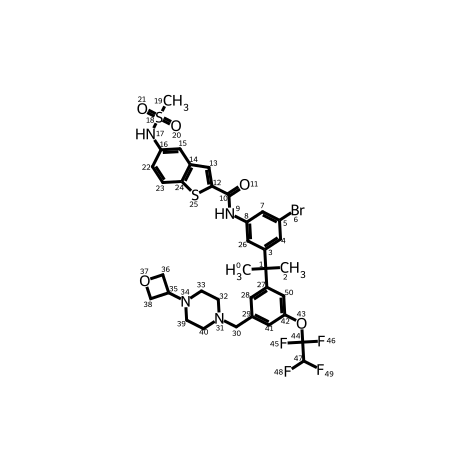 CC(C)(c1cc(Br)cc(NC(=O)c2cc3cc(NS(C)(=O)=O)ccc3s2)c1)c1cc(CN2CCN(C3COC3)CC2)cc(OC(F)(F)C(F)F)c1